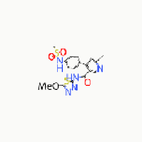 COc1nnc(NC(=O)c2cnc(C)cc2-c2ccc(NS(C)(=O)=O)cc2)s1